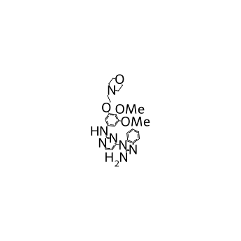 COc1cc(Nc2nccc(-n3c(N)nc4ccccc43)n2)cc(OCCN2CCOCC2)c1OC